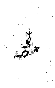 CC(C)(C)SNc1ccc(C(F)(F)F)cc1C(=O)NC12CC(C(F)(F)F)(C1)C2